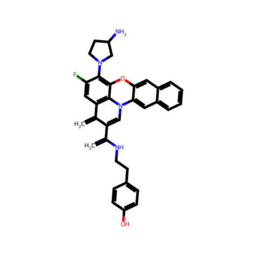 C=C(NCCc1ccc(O)cc1)c1cn2c3cc4ccccc4cc3oc3c(N4CCC(N)C4)c(F)cc(c3-2)c1=C